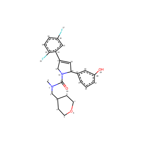 CN(CC1CCOCC1)C(=O)N1CC(c2cc(F)ccc2F)=CC1c1cccc(O)c1